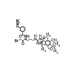 Cc1c(C)c(S(=O)(=O)NC(=N)NCCC[C@H](NC(=O)c2cccc(N=[N+]=[N-])c2)C(=O)CBr)c(C)c2c1C(C)(C)OC2